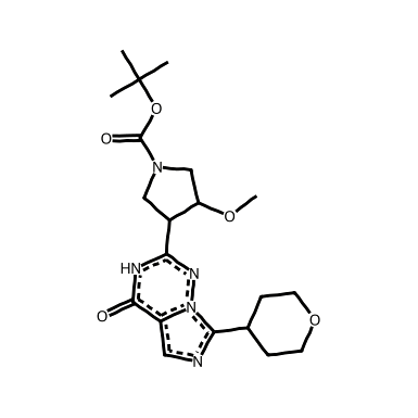 COC1CN(C(=O)OC(C)(C)C)CC1c1nn2c(C3CCOCC3)ncc2c(=O)[nH]1